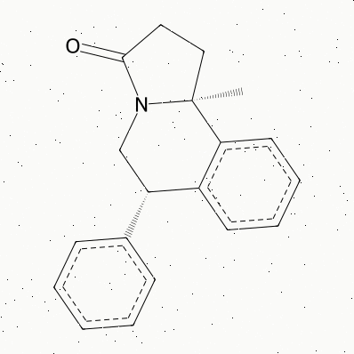 C[C@@]12CCC(=O)N1C[C@@H](c1ccccc1)c1ccccc12